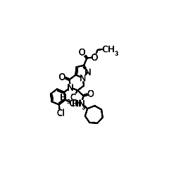 CCOC(=O)c1cc2n(n1)CC(C)(C(=O)NC1CCCCCC1)N(c1cccc(Cl)c1C)C2=O